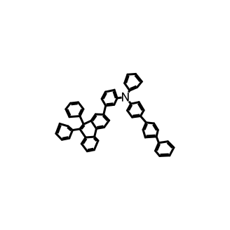 c1ccc(-c2ccc(-c3ccc(N(c4ccccc4)c4cccc(-c5ccc6c(c5)c(-c5ccccc5)c(-c5ccccc5)c5ccccc56)c4)cc3)cc2)cc1